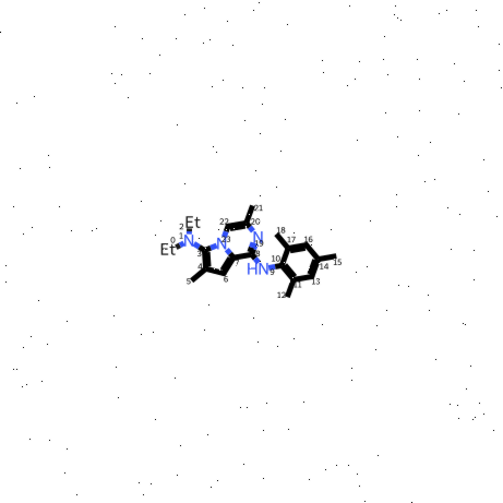 CCN(CC)c1c(C)cc2c(Nc3c(C)cc(C)cc3C)nc(C)cn12